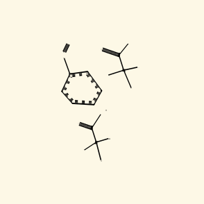 O=C(O)C(F)(F)F.O=C(O)C(F)(F)F.O=Ic1ccccc1